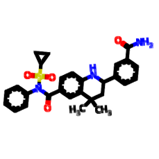 CC1(C)CC(c2cccc(C(N)=O)c2)Nc2ccc(C(=O)N(c3ccccc3)S(=O)(=O)C3CC3)cc21